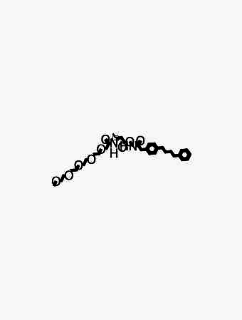 COCCOCCOCCOCCOCC(=O)N[C@@H](C)CC(=O)ONC(=O)Cc1ccc(CCCCc2ccccc2)cc1